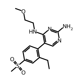 CCc1cc(S(C)(=O)=O)ccc1-c1cnc(N)nc1NCCOC